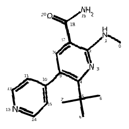 CNc1nc(C(C)(C)C)c(-c2ccncc2)cc1C(N)=O